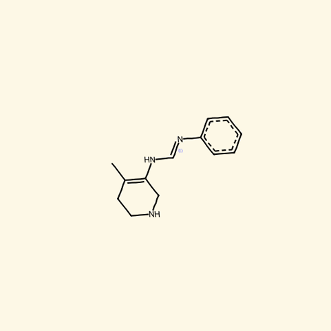 CC1=C(N/C=N/c2ccccc2)CNCC1